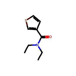 CCN(CC)C(=O)c1ccsc1